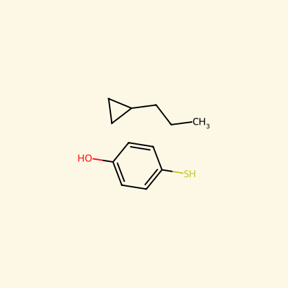 CCCC1CC1.Oc1ccc(S)cc1